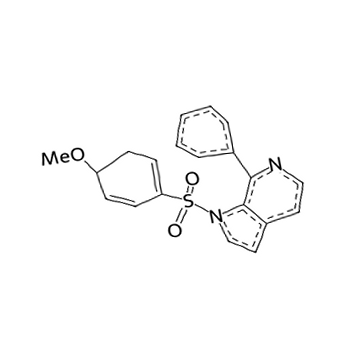 COC1C=CC(S(=O)(=O)n2ccc3ccnc(-c4ccccc4)c32)=CC1